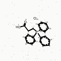 O=C(O)CC[P+](c1ccccc1)(c1ccccc1)c1ccccc1.[Cl-]